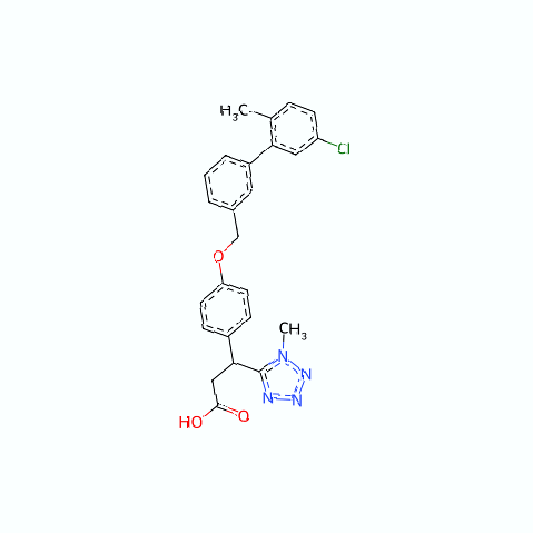 Cc1ccc(Cl)cc1-c1cccc(COc2ccc(C(CC(=O)O)c3nnnn3C)cc2)c1